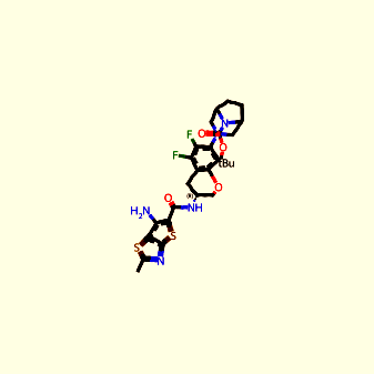 Cc1nc2sc(C(=O)N[C@H]3COc4cc(N5CC6CCC(C5)N6C(=O)OC(C)(C)C)c(F)c(F)c4C3)c(N)c2s1